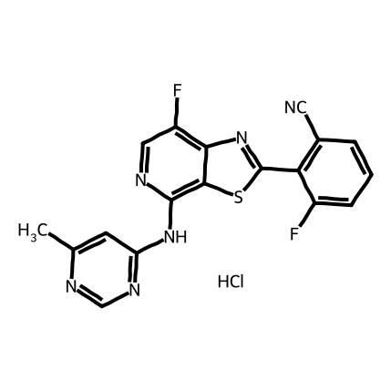 Cc1cc(Nc2ncc(F)c3nc(-c4c(F)cccc4C#N)sc23)ncn1.Cl